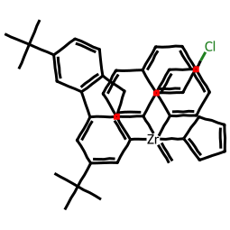 [CH2]=[Zr]([C]1=CC=CC1)([c]1ccc(Cl)cc1)([c]1cc(C(C)(C)C)cc2c1Cc1ccc(C(C)(C)C)cc1-2)[c]1cccc2ccccc12